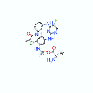 C=CC(=O)Nc1cccc(Nc2nc(Nc3ccc(Cl)c(N[C@@H](C)COC(=O)[C@@H](N)C(C)C)c3)ncc2F)c1